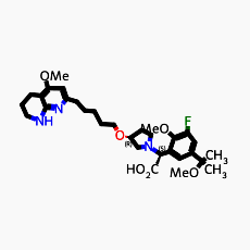 COc1cc(CCCCCO[C@@H]2CCN([C@H](C(=O)O)c3cc(C(C)(C)OC)cc(F)c3OC)C2)nc2c1CCCN2